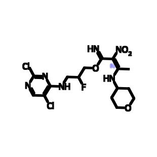 C/C(NC1CCOCC1)=C(/C(=N)OCC(F)CNc1nc(Cl)ncc1Cl)[N+](=O)[O-]